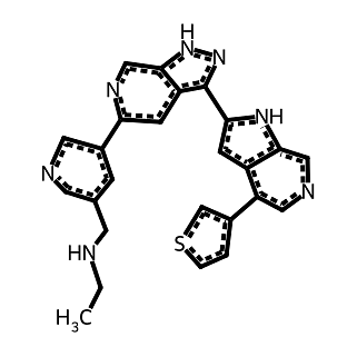 CCNCc1cncc(-c2cc3c(-c4cc5c(-c6ccsc6)cncc5[nH]4)n[nH]c3cn2)c1